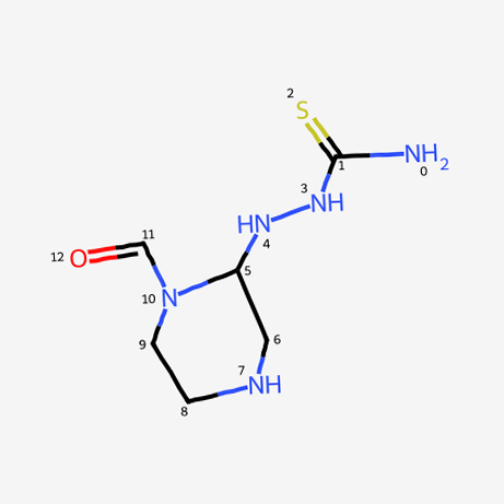 NC(=S)NNC1CNCCN1C=O